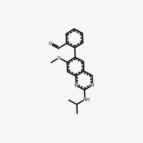 COc1cc2nc(NC(C)C)ncc2cc1-c1ccccc1C=O